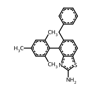 Cc1cc(C)c(-c2c(Cc3ccccc3)ccc3sc(N)nc23)c(C)c1